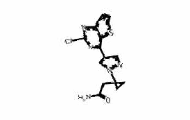 NC(=O)CC1(n2cc(-c3nc(Cl)nc4ccsc34)cn2)CC1